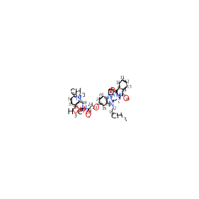 CCCn1c(CN2C(=O)c3ccccc3C2=O)[n+](C)c2ccc(OCC(=O)N(C)Cc3nc(C)ccc3O)cc21